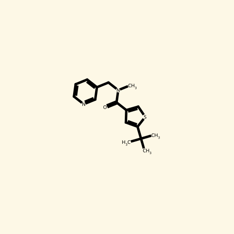 CN(Cc1cccnc1)C(=O)c1csc(C(C)(C)C)c1